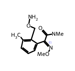 CNC(=O)/C(=N/OC)c1cccc(C)c1CON